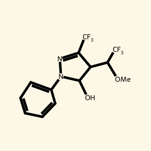 COC(C1C(C(F)(F)F)=NN(c2ccccc2)C1O)C(F)(F)F